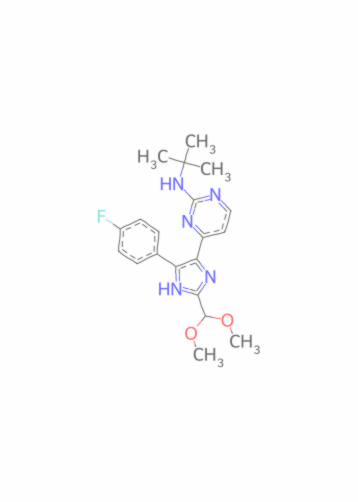 COC(OC)c1nc(-c2ccnc(NC(C)(C)C)n2)c(-c2ccc(F)cc2)[nH]1